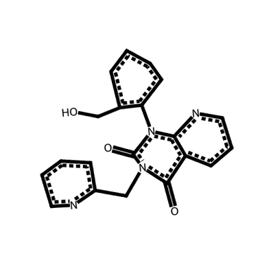 O=c1c2cccnc2n(-c2ccccc2CO)c(=O)n1Cc1ccccn1